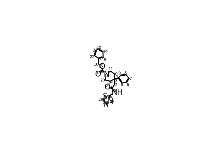 O=C(CC1(c2ccccc2)CCN(C(=O)OCc2ccccc2)CC1)Nc1nncs1